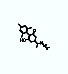 Cc1cc(C)c(C2=C(O)CC(C(C)N=[N+]=[N-])CC2=O)c(C)c1